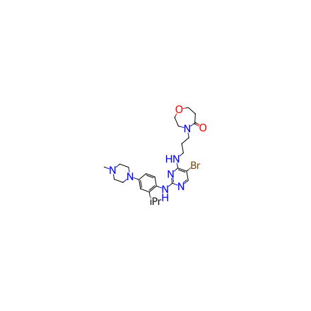 CC(C)c1cc(N2CCN(C)CC2)ccc1Nc1ncc(Br)c(NCCCN2CCOCCC2=O)n1